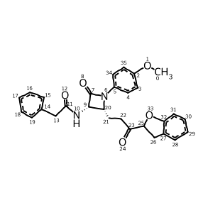 COc1ccc(N2C(=O)[C@@H](NC(=O)Cc3ccccc3)[C@H]2CCC(=O)C2Cc3ccccc3O2)cc1